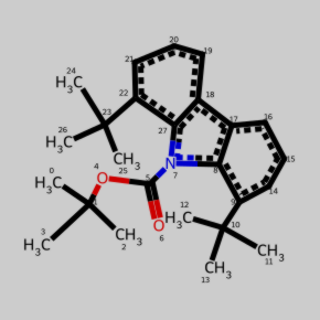 CC(C)(C)OC(=O)n1c2c(C(C)(C)C)cccc2c2cccc(C(C)(C)C)c21